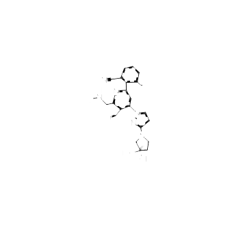 CNCc1nc(-c2c(F)cccc2C#N)cc(-n2ccc(N3CC[C@@](C)(O)C3)n2)c1C=O